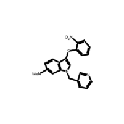 CNc1ccc2c(Sc3ccccc3[N+](=O)[O-])cn(Cc3cccnc3)c2c1